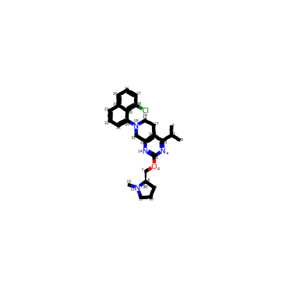 CC(C)c1nc(OC[C@H]2CCCN2C)nc2c1CCN(c1cccc3cccc(Cl)c13)C2